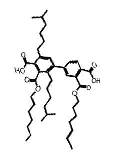 CCCCCCCOC(=O)c1cc(-c2cc(CCCCC(C)C)c(C(=O)O)c(C(=O)OCCCCCCC)c2CCCCC(C)C)ccc1C(=O)O